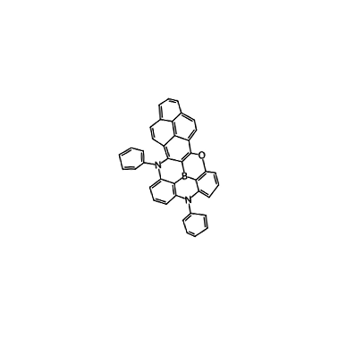 c1ccc(N2c3cccc4c3B3c5c2cccc5N(c2ccccc2)c2c3c(c3ccc5cccc6ccc2c3c56)O4)cc1